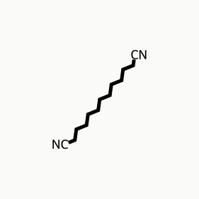 N#CCCCCCCCCCCCC#N